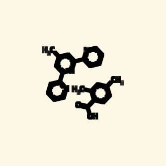 Cc1cc(-c2ccccn2)nc(-c2ccccn2)c1.Cc1ccc(C(=O)O)c(C)c1